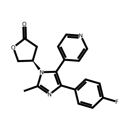 Cc1nc(-c2ccc(F)cc2)c(-c2ccncc2)n1[C@H]1COC(=O)C1